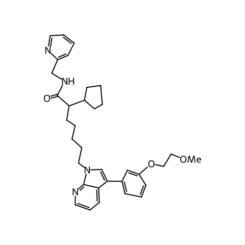 COCCOc1cccc(-c2cn(CCCCCC(C(=O)NCc3ccccn3)C3CCCC3)c3ncccc23)c1